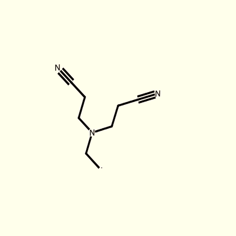 [CH2]CN(CCC#N)CCC#N